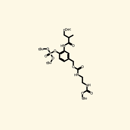 CCCCCCCCCCCC(C)C(=O)Nc1cc(COC(=O)NCCNC(=O)OC(C)(C)C)ccc1OP(=O)(OC(C)(C)C)OC(C)(C)C